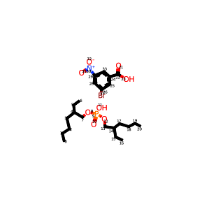 CCCCC(CC)COP(=O)(O)OCC(CC)CCCC.O=C(O)c1cc(Br)cc([N+](=O)[O-])c1